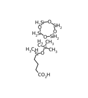 C[SiH](CCCC(=O)O)O[Si](C)(C)C.O1[SiH2]O[SiH2]O[SiH2]O[SiH2]1